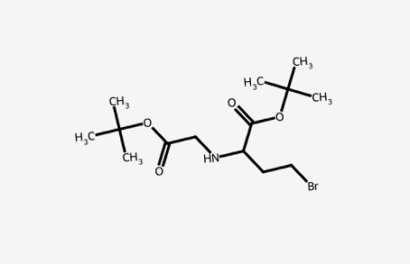 CC(C)(C)OC(=O)CNC(CCBr)C(=O)OC(C)(C)C